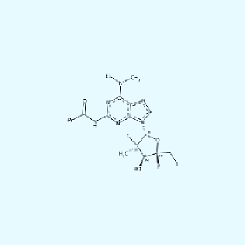 CCN(C)c1nc(NC(=O)C(C)C)nc2c1ncn2[C@@H]1O[C@](F)(CI)[C@@H](O)[C@@]1(C)F